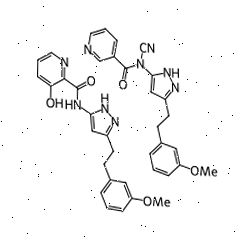 COc1cccc(CCc2cc(N(C#N)C(=O)c3cccnc3)[nH]n2)c1.COc1cccc(CCc2cc(NC(=O)c3ncccc3O)[nH]n2)c1